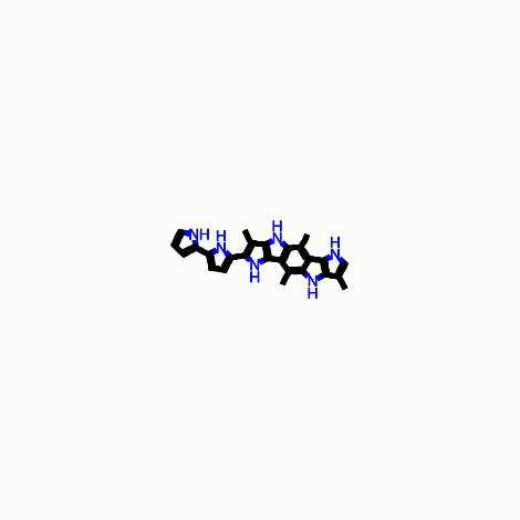 Cc1c[nH]c2c1[nH]c1c(C)c3c([nH]c4c(C)c(-c5ccc(-c6ccc[nH]6)[nH]5)[nH]c43)c(C)c12